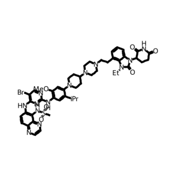 CCn1c(=O)n(C2CCC(=O)NC2=O)c2cccc(CCN3CCN(C4CCN(c5cc(OC)c(Nc6ncc(Br)c(Nc7ccc8nccnc8c7NS(C)(=O)=O)n6)cc5C(C)C)CC4)CC3)c21